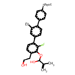 C=C(C)C(O)Oc1c(CCO)ccc(-c2ccc(-c3ccc(CCCCC)cc3)c(CC)c2)c1F